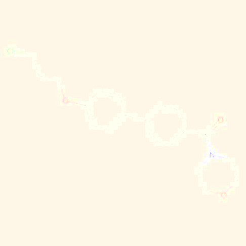 O=C(c1ccc(-c2ccc(OCCCCl)cc2)cc1)N1CCOCC1